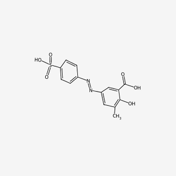 Cc1cc(/N=N/c2ccc(S(=O)(=O)O)cc2)cc(C(=O)O)c1O